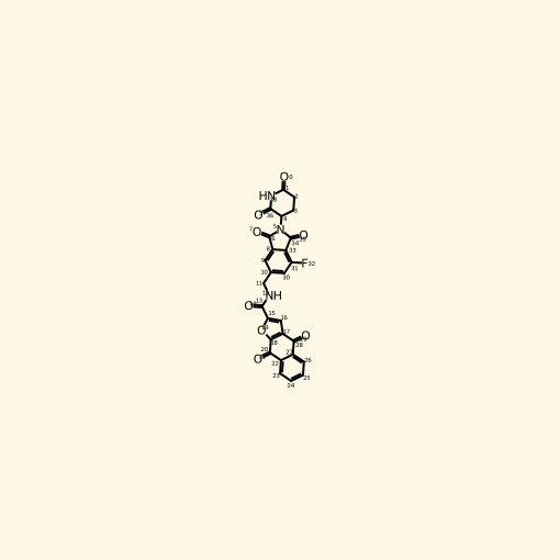 O=C1CCC(N2C(=O)c3cc(CNC(=O)c4cc5c(o4)C(=O)c4ccccc4C5=O)cc(F)c3C2=O)C(=O)N1